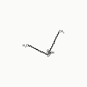 CCCCCCCCC=CCCCCCCCC(=O)OP(=O)(O)C(=O)CCCCCCCC=CCCCCCCCC